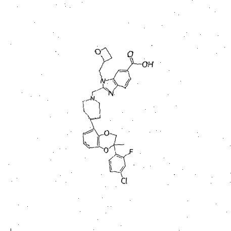 CC1(c2ccc(Cl)cc2F)COc2c(cccc2C2CCN(Cc3nc4ccc(C(=O)O)cc4n3CC3CCO3)CC2)O1